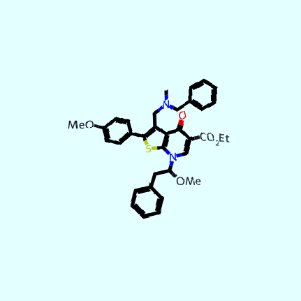 CCOC(=O)c1cn(C(Cc2ccccc2)OC)c2sc(-c3ccc(OC)cc3)c(CN(C)Cc3ccccc3)c2c1=O